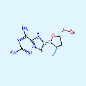 N=C(N)/N=C(/N)C1=NCC([C@@H]2O[C@H](CO)C[C@H]2F)N1